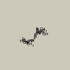 CCc1cccc2cc(O)cc(-c3ncc4c(N5CC6CCC(C5)N6)nc(OCC5(CN6CCC7(CC6)CC(CN6CCN(c8ccc9c(C%10CCC(=O)NC%10=O)nn(C)c9c8)CC6)C7)CC5)nc4c3F)c12